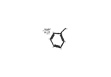 Cc1ccccc1.O.[NaH]